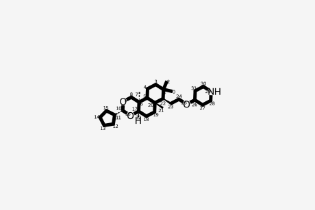 CC1(C)CCC2[C@]3(C)CO[C@@H](C4CCCC4)O[C@@H]3CC[C@@]2(C)[C@@H]1CCOC1CCNCC1